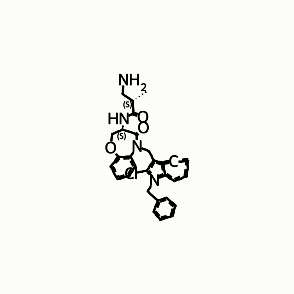 C[C@@H](CN)C(=O)N[C@H]1COc2ccccc2N(Cc2c(Cl)n(Cc3ccccc3)c3ccccc23)C1=O